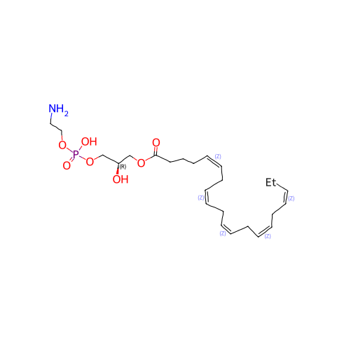 CC/C=C\C/C=C\C/C=C\C/C=C\C/C=C\CCCC(=O)OC[C@@H](O)COP(=O)(O)OCCN